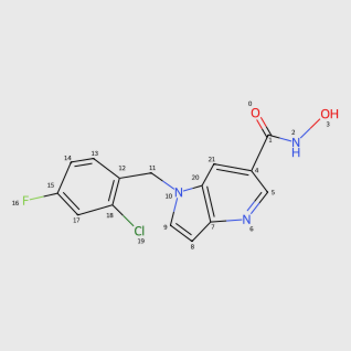 O=C(NO)c1cnc2ccn(Cc3ccc(F)cc3Cl)c2c1